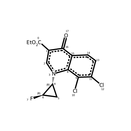 CCOC(=O)c1cn([C@@H]2C[C@H]2F)c2c(Cl)c(Cl)ccc2c1=O